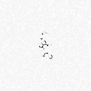 COC(=O)c1cn(C(=O)OC(C)(C)C)c2nccc(CN[C@@H](C(=O)N3CCCC3)C(C)C)c12